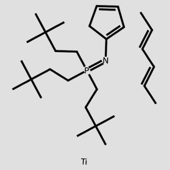 CC(C)(C)CCP(CCC(C)(C)C)(CCC(C)(C)C)=NC1=CC=CC1.CC=CC=CC.[Ti]